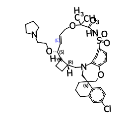 CC1(C)OC/C=C/[C@@H](OCCN2CCCC2)[C@@H]2CC[C@H]2CN2C[C@@]3(CCCc4cc(Cl)ccc43)COc3ccc(cc32)S(=O)(=O)NC1=O